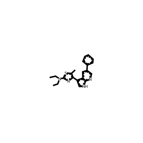 CCN(CC)c1nc(-c2c[nH]c3ncc(-c4ccccc4)cc23)c(C)s1